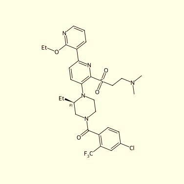 CCOc1ncccc1-c1ccc(N2CCN(C(=O)c3ccc(Cl)cc3C(F)(F)F)C[C@H]2CC)c(S(=O)(=O)CCN(C)C)n1